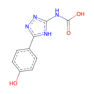 O=C(O)Nc1nnc(-c2ccc(O)cc2)[nH]1